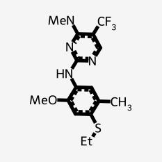 CCSc1cc(OC)c(Nc2ncc(C(F)(F)F)c(NC)n2)cc1C